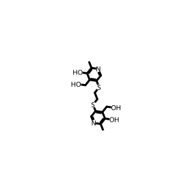 Cc1ncc(SCCSc2cnc(C)c(O)c2CO)c(CO)c1O